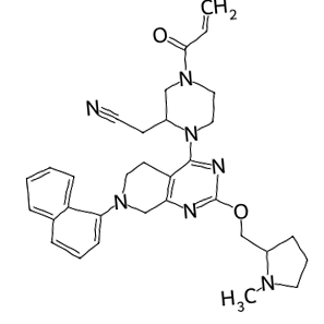 C=CC(=O)N1CCN(c2nc(OCC3CCCN3C)nc3c2CCN(c2cccc4ccccc24)C3)C(CC#N)C1